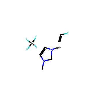 C=CF.CCCCN1C=CN(C)C1.F[B-](F)(F)F